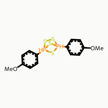 COc1ccc([PH]23SS[PH](c4ccc(OC)cc4)(S2)S3)cc1